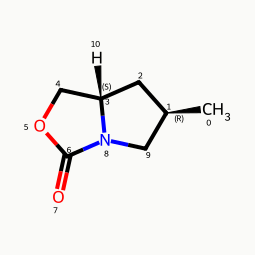 C[C@@H]1C[C@H]2COC(=O)N2C1